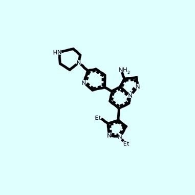 CCc1nn(CC)cc1-c1cc(-c2ccc(N3CCNCC3)nc2)c2c(N)cnn2c1